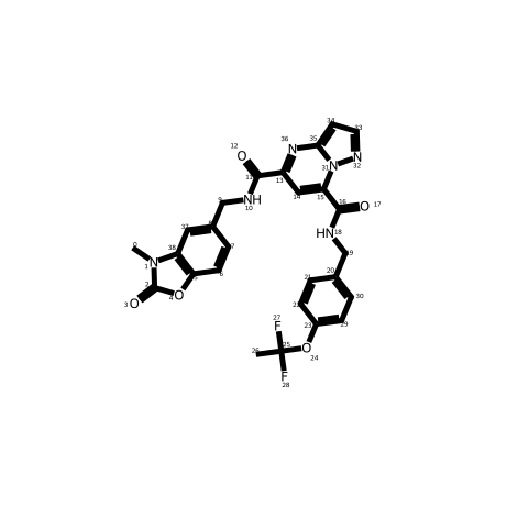 Cn1c(=O)oc2ccc(CNC(=O)c3cc(C(=O)NCc4ccc(OC(C)(F)F)cc4)n4nccc4n3)cc21